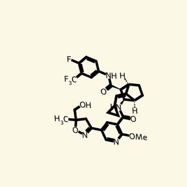 COc1ncc(C2=NOC(C)(CO)C2)cc1C(=O)N[C@H]1[C@@H](C(=O)Nc2ccc(F)c(C(F)(F)F)c2)[C@H]2CC[C@@H]1/C2=C\C1CC1